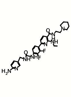 CCNc1nc(-c2ccc(NC(=O)NCc3ccc(N)nc3)c(F)c2F)ccc1C(=O)NCCN1CCCCC1